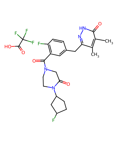 Cc1c(Cc2ccc(F)c(C(=O)N3CCN(C4CCC(F)C4)C(=O)C3)c2)n[nH]c(=O)c1C.O=C(O)C(F)(F)F